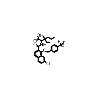 CCCC(C)(CC)C(NC(=O)c1ccc2ccc(Cl)cc2c1OCc1ccc(C(F)(F)F)cc1)C(=O)O